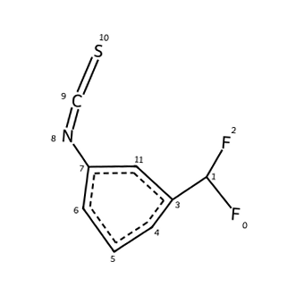 FC(F)c1cccc(N=C=S)c1